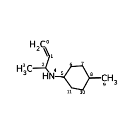 C=CC(C)NC1CCC(C)CC1